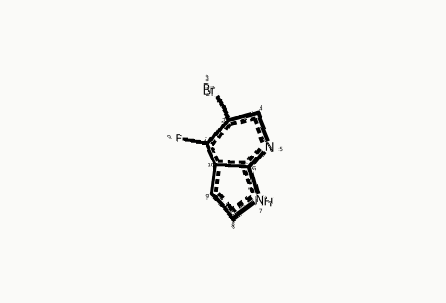 Fc1c(Br)cnc2[nH]ccc12